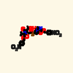 CC(=NC(=O)OCc1ccc([N+](=O)[O-])cc1)N1CC[C@H](SC(=O)C[C@@H]2[C@@H]([C@@H](C)O)C(=O)N2C(C(=O)OCc2ccc([N+](=O)[O-])cc2)=C(C)C)C1